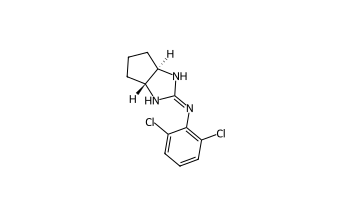 Clc1cccc(Cl)c1N=C1N[C@@H]2CCC[C@H]2N1